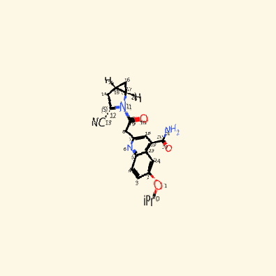 CC(C)Oc1ccc2nc(CC(=O)N3[C@H](C#N)C[C@@H]4C[C@@H]43)cc(C(N)=O)c2c1